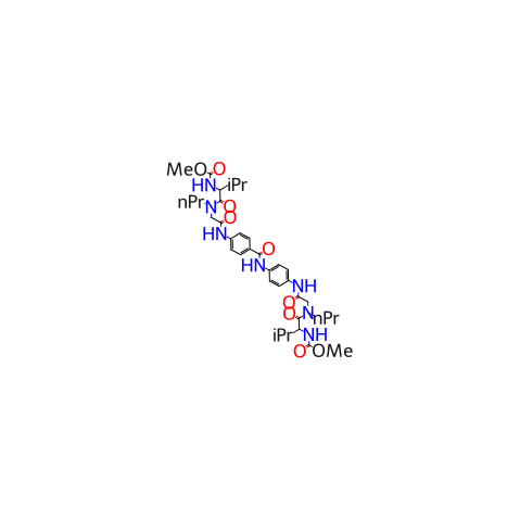 CCCN(CC(=O)Nc1ccc(NC(=O)c2ccc(NC(=O)CN(CCC)C(=O)C(NC(=O)OC)C(C)C)cc2)cc1)C(=O)C(NC(=O)OC)C(C)C